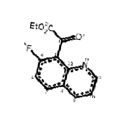 CCOC(=O)C(=O)c1c(F)ccc2cccnc12